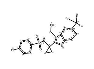 CCn1c(C2(NS(=O)(=O)c3ccc(Cl)cc3)CC2)nc2ccc(C(F)(F)F)cc21